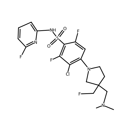 CN(C)CC1(CF)CCN(c2cc(F)c(S(=O)(=O)Nc3cccc(F)n3)c(F)c2Cl)C1